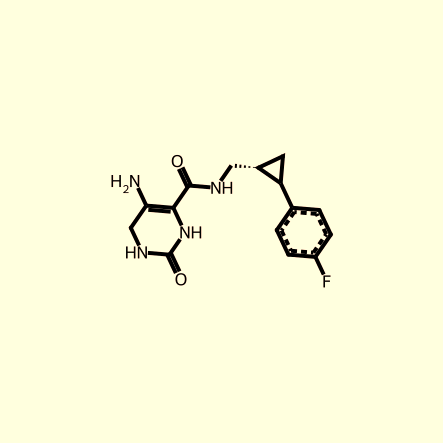 NC1=C(C(=O)NC[C@@H]2CC2c2ccc(F)cc2)NC(=O)NC1